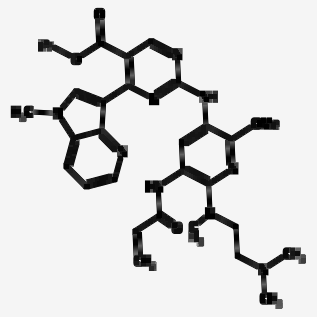 C=CC(=O)Nc1cc(Nc2ncc(C(=O)OC(C)C)c(-c3cn(C)c4cccnc34)n2)c(OC)nc1N(C)CCN(C)C